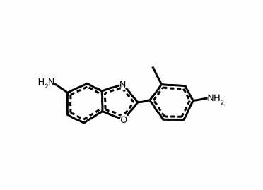 Cc1cc(N)ccc1-c1nc2cc(N)ccc2o1